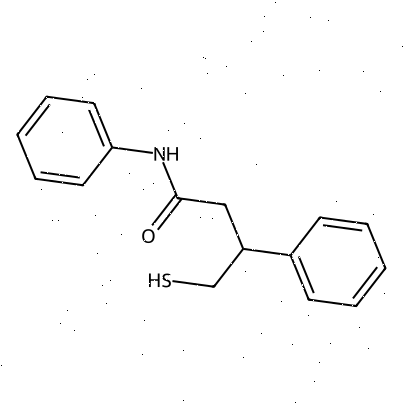 O=C(CC(CS)c1ccccc1)Nc1ccccc1